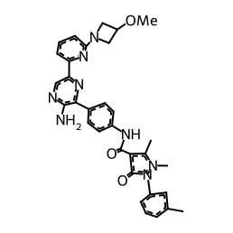 COC1CN(c2cccc(-c3cnc(N)c(-c4ccc(NC(=O)c5c(C)n(C)n(-c6cccc(C)c6)c5=O)cc4)n3)n2)C1